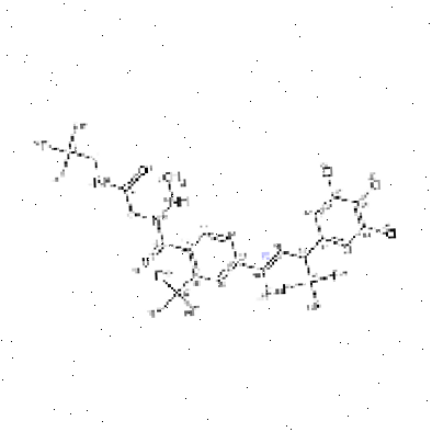 CNN(CC(=O)NCC(F)(F)F)C(=O)c1ccc(/C(F)=C/C(c2cc(Cl)c(Cl)c(Cl)c2)C(F)(F)F)cc1C(F)(F)F